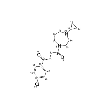 O=C(CCC(=O)N1CCCN(C2CC2)CC1)c1ccc(Cl)cc1